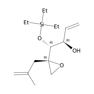 C=C[C@@H](O)[C@@H](O[Si](CC)(CC)CC)[C@@]1(CC(=C)C)CO1